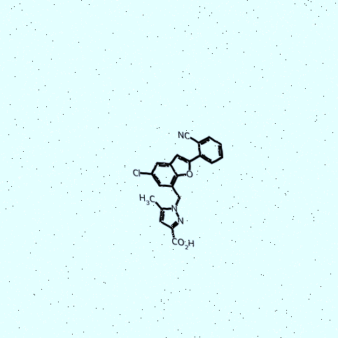 Cc1cc(C(=O)O)nn1Cc1cc(Cl)cc2cc(-c3ccccc3C#N)oc12